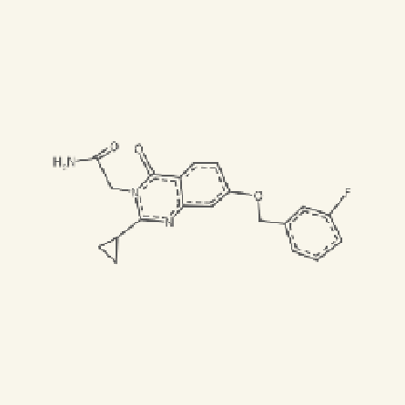 NC(=O)Cn1c(C2CC2)nc2cc(OCc3cccc(F)c3)ccc2c1=O